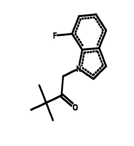 CC(C)(C)C(=O)Cn1ccc2cccc(F)c21